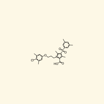 Cc1cc(C)cc(S(=O)(=O)c2c(C)c(C(=O)O)n(CCCOc3cc(C)c(Cl)c(C)c3)c2C)c1